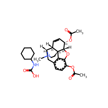 CC(=O)Oc1ccc2c3c1O[C@H]1[C@@H](OC(C)=O)C=C[C@H]4[C@@H](C2)N(C)CC[C@@]341.O=C(O)NC1CCCCC1